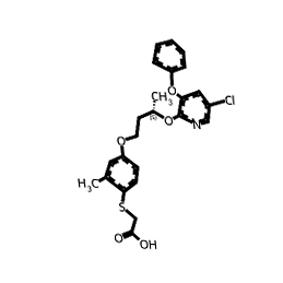 Cc1cc(OCC[C@H](C)Oc2ncc(Cl)cc2Oc2ccccc2)ccc1SCC(=O)O